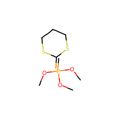 COP(OC)(OC)=C1SCCCS1